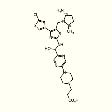 C[C@@H]1CC[C@@H](N)N1Cc1sc(NC(O)c2cnc(N3CCN(CCC(=O)O)CC3)cn2)nc1-c1csc(Cl)c1